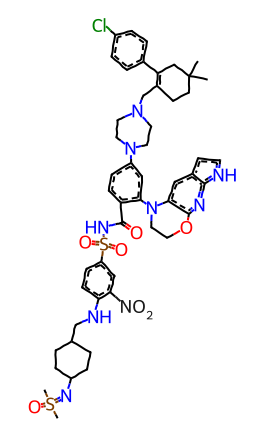 CC1(C)CCC(CN2CCN(c3ccc(C(=O)NS(=O)(=O)c4ccc(NCC5CCC(N=S(C)(C)=O)CC5)c([N+](=O)[O-])c4)c(N4CCOc5nc6[nH]ccc6cc54)c3)CC2)=C(c2ccc(Cl)cc2)C1